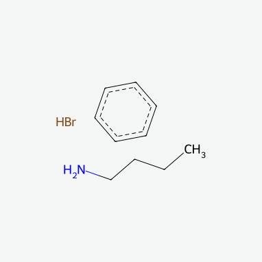 Br.CCCCN.c1ccccc1